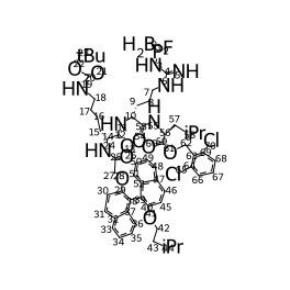 BP(F)NC(=N)NCCC[C@@H](NC(=O)[C@@H](CCCCNC(=O)OC(C)(C)C)NC(=O)COc1ccc2ccccc2c1-c1c(OCCC(C)C)ccc2ccccc12)C(=O)N[C@@H](CC(C)C)C(=O)OCc1c(Cl)cccc1Cl